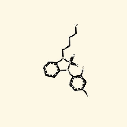 O=S1(=O)N(CCCCBr)c2ccccc2N1c1ccc(F)cc1F